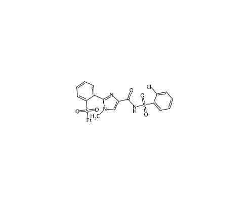 CCS(=O)(=O)c1ccccc1-c1nc(C(=O)NS(=O)(=O)c2ccccc2Cl)cn1C